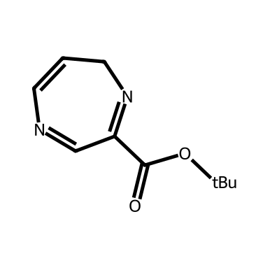 CC(C)(C)OC(=O)C1=NCC=CN=C1